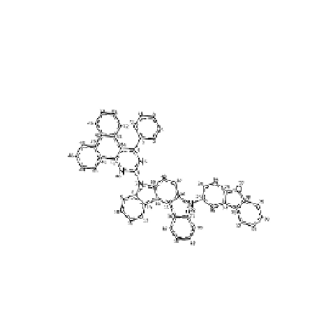 c1ccc(-c2nc(-n3c4ccccc4c4c5c6ccccc6n(-c6ccc7oc8ccccc8c7c6)c5ccc43)nc3c4ccccc4c4ccccc4c23)cc1